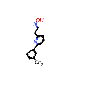 ON=CCc1cccc(-c2cccc(C(F)(F)F)c2)n1